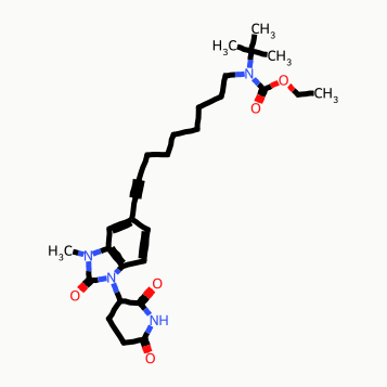 CCOC(=O)N(CCCCCCCC#Cc1ccc2c(c1)n(C)c(=O)n2C1CCC(=O)NC1=O)C(C)(C)C